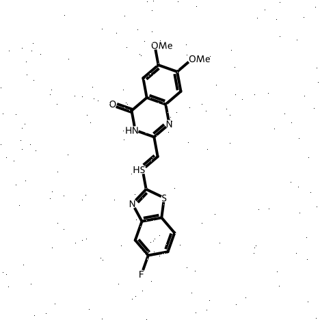 COc1cc2nc(C=[SH]c3nc4cc(F)ccc4s3)[nH]c(=O)c2cc1OC